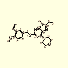 C=Cc1cc(CSc2nc(N3CCOCC3)c3nc(CC)n(C)c3n2)ccc1OC